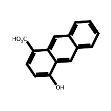 O=C(O)c1ccc(O)c2cc3ccccc3cc12